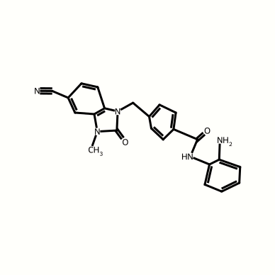 Cn1c(=O)n(Cc2ccc(C(=O)Nc3ccccc3N)cc2)c2ccc(C#N)cc21